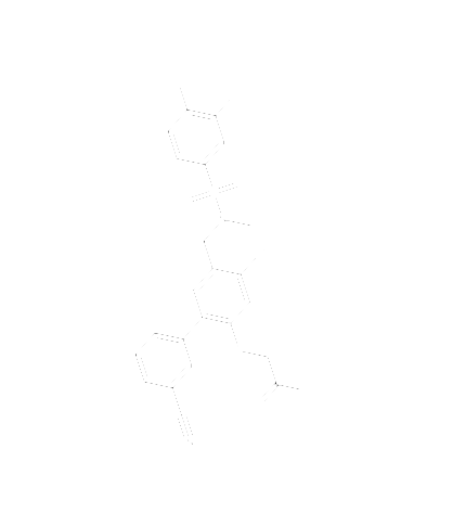 CN(Cc1cc(-c2cccc(C#N)c2)c(OCC(=O)O)cc1Cl)S(=O)(=O)c1ccc(F)c(Cl)c1